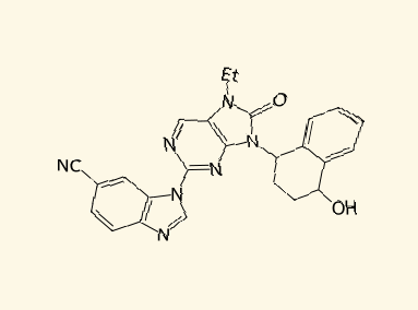 CCn1c(=O)n(C2CCC(O)c3ccccc32)c2nc(-n3cnc4ccc(C#N)cc43)ncc21